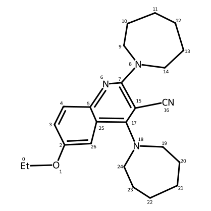 CCOc1ccc2nc(N3CCCCCC3)c(C#N)c(N3CCCCCC3)c2c1